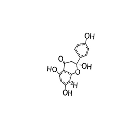 [2H]c1c(O)cc(O)c2c1O[C@](O)(c1ccc(O)cc1)CC2=O